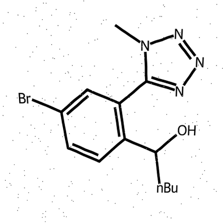 CCCCC(O)c1ccc(Br)cc1-c1nnnn1C